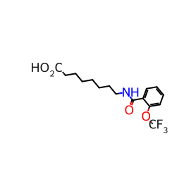 O=C(O)CCCCCCCNC(=O)c1ccccc1OC(F)(F)F